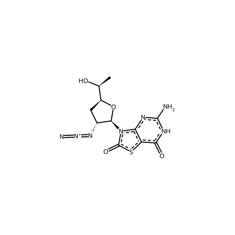 C[C@H](O)[C@@H]1C[C@@H](N=[N+]=[N-])[C@H](n2c(=O)sc3c(=O)[nH]c(N)nc32)O1